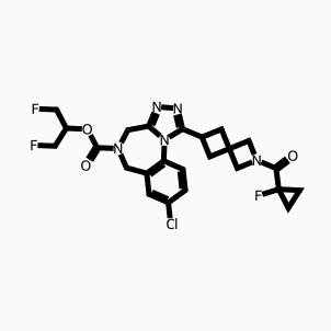 O=C(OC(CF)CF)N1Cc2cc(Cl)ccc2-n2c(nnc2C2CC3(C2)CN(C(=O)C2(F)CC2)C3)C1